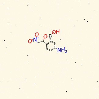 Nc1ccc2c(c1)B(O)OC2C[N+](=O)[O-]